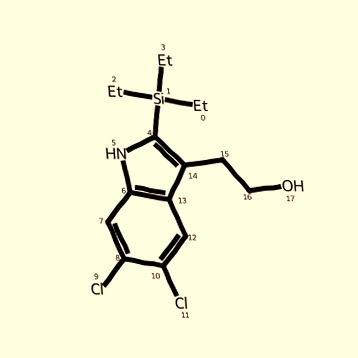 CC[Si](CC)(CC)c1[nH]c2cc(Cl)c(Cl)cc2c1CCO